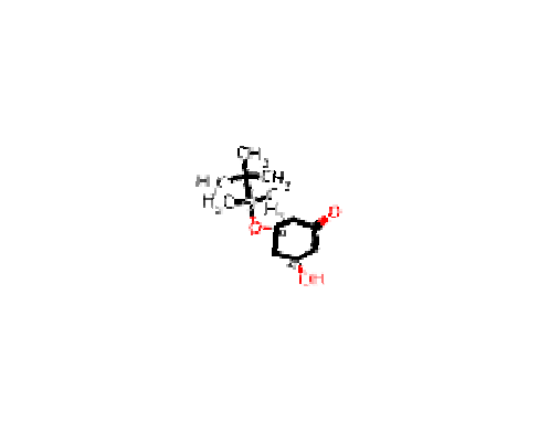 CC(C)(C)[Si](C)(C)O[C@H]1CC(=O)C[C@@H](O)C1